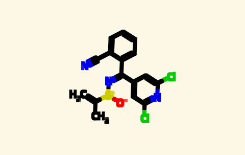 C=C(C)[S+]([O-])/N=C(\c1cc(Cl)nc(Cl)c1)c1ccccc1C#N